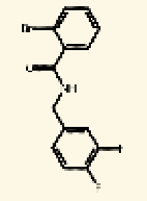 O=C(NCc1ccc(F)c(F)c1)c1ccccc1Br